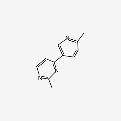 Cc1ccc(-c2ccnc(C)n2)cn1